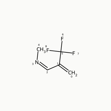 C=C(/C=N\C)C(F)(F)F